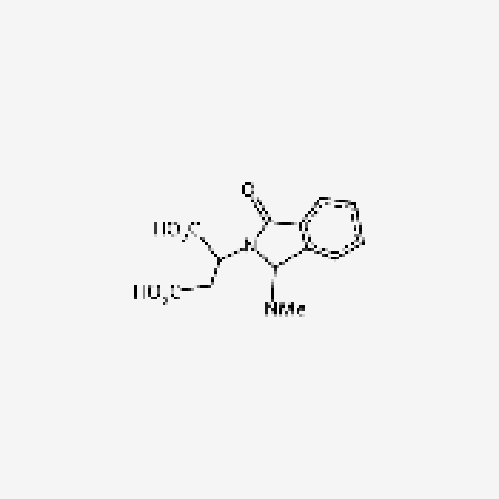 CNC1c2ccccc2C(=O)N1C(CC(=O)O)C(=O)O